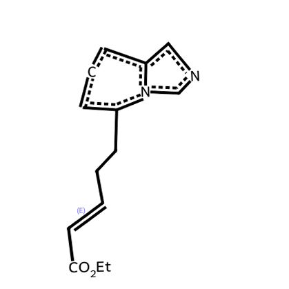 CCOC(=O)/C=C/CCc1cccc2cncn12